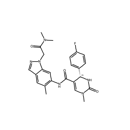 Cc1cc2cnn(CC(=O)N(C)C)c2cc1NC(=O)C1=CN(C)C(=O)N[C@H]1c1ccc(F)cc1